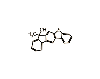 CC1(C)c2ccccc2-c2cc3c(cc21)sc1ccccc13